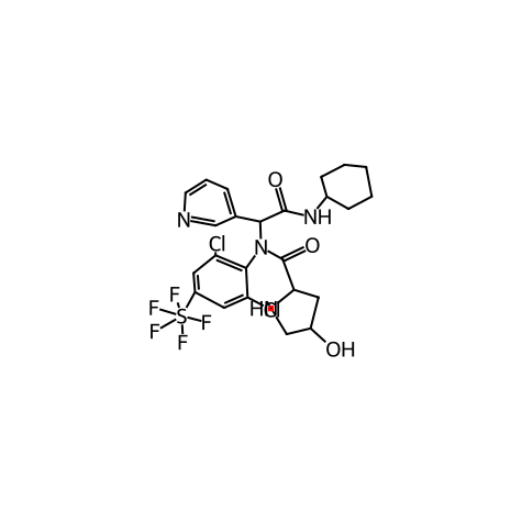 O=C(NC1CCCCC1)C(c1cccnc1)N(C(=O)C1CC(O)CN1)c1c(Cl)cc(S(F)(F)(F)(F)F)cc1Cl